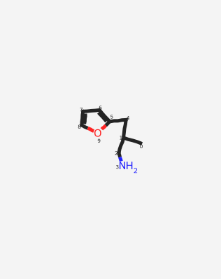 CC(CN)Cc1ccco1